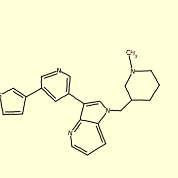 CN1CCCC(Cn2cc(-c3cncc(-c4ccsc4)c3)c3ncccc32)C1